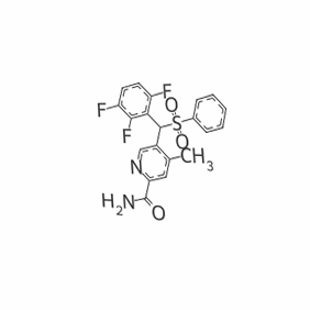 Cc1cc(C(N)=O)ncc1C(c1c(F)ccc(F)c1F)S(=O)(=O)c1ccccc1